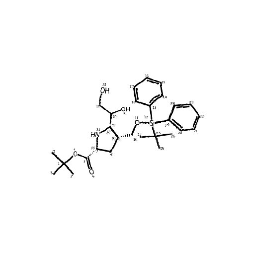 CC(C)(C)OC(=O)[C@H]1C[C@@H](CO[Si](c2ccccc2)(c2ccccc2)C(C)(C)C)[C@H](C(O)CO)N1